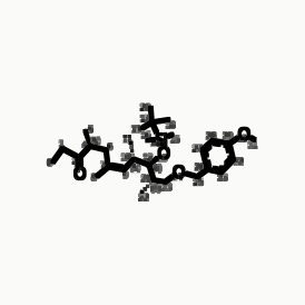 CCC(=O)[C@@H](C)CC(C)=C[C@H](C)[C@@H](O[Si](C)(C)C(C)(C)C)[C@@H](C)COCc1ccc(OC)cc1